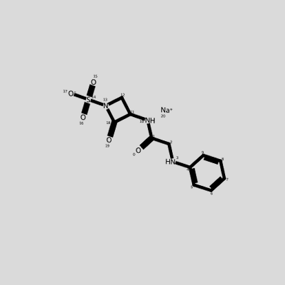 O=C(CNc1ccccc1)NC1CN(S(=O)(=O)[O-])C1=O.[Na+]